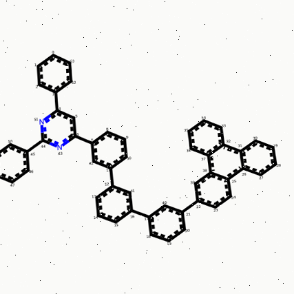 c1ccc(-c2cc(-c3cccc(-c4cccc(-c5cccc(-c6ccc7c8ccccc8c8ccccc8c7c6)c5)c4)c3)nc(-c3ccccc3)n2)cc1